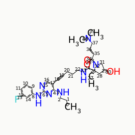 CCCNc1nc(Nc2cccc(F)c2)ncc1C#CCCCNC(=O)[C@]1(C)C[C@@H](O)CN1C(=O)/C=C/CN(C)C